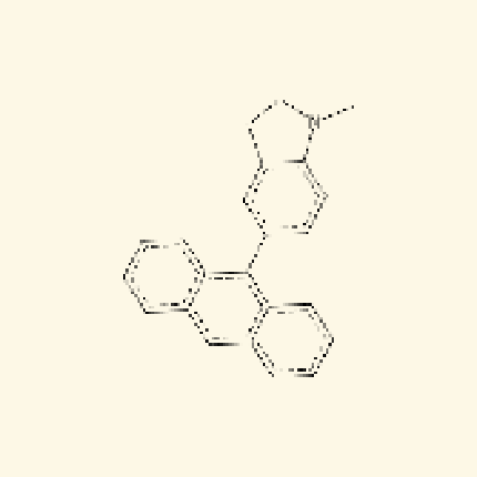 CN1CCc2cc(-c3c4ccccc4cc4ccccc34)ccc21